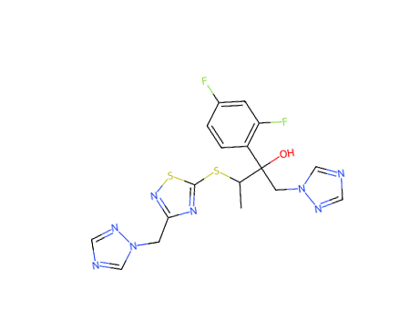 CC(Sc1nc(Cn2cncn2)ns1)C(O)(Cn1cncn1)c1ccc(F)cc1F